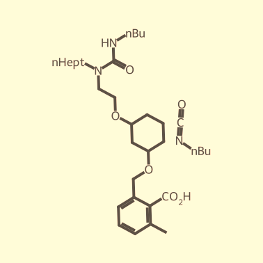 CCCCCCCN(CCOC1CCCC(OCc2cccc(C)c2C(=O)O)C1)C(=O)NCCCC.CCCCN=C=O